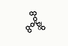 c1ccc2c(-c3ccc(N(c4ccc(-c5cccc6ccccc56)cc4)c4cnc5c(c4)oc4ccccc45)cc3)cccc2c1